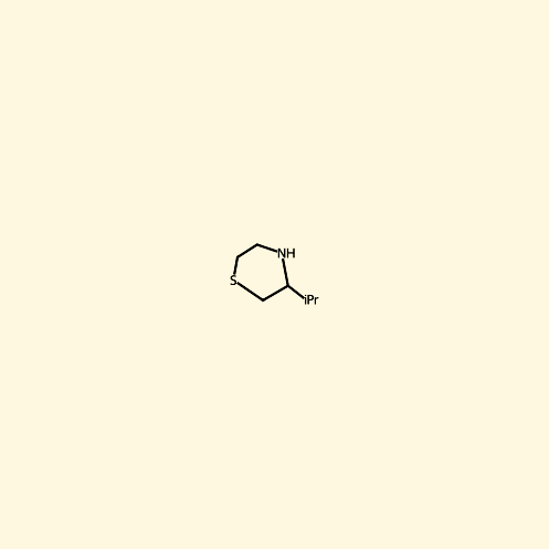 CC(C)C1CSCCN1